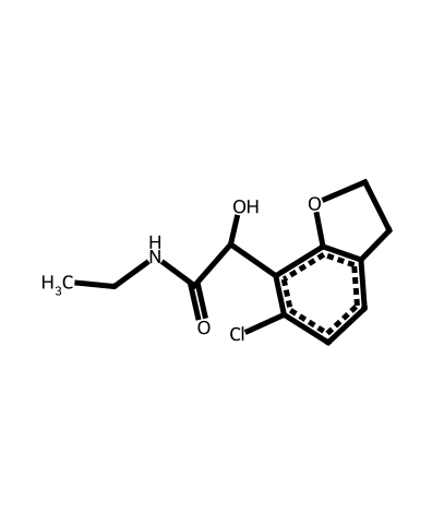 CCNC(=O)C(O)c1c(Cl)ccc2c1OCC2